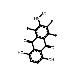 CCNc1c(F)c(F)c2c(c1F)C(=O)c1c(O)ccc(O)c1C2=O